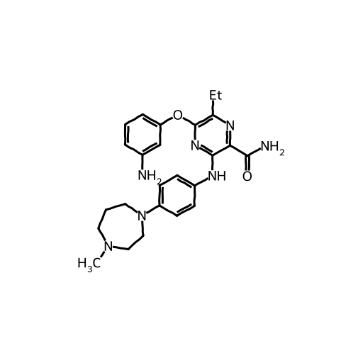 CCc1nc(C(N)=O)c(Nc2ccc(N3CCCN(C)CC3)cc2)nc1Oc1cccc(N)c1